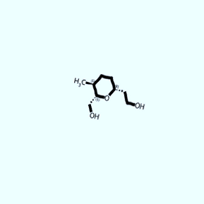 C[C@H]1CC[C@H](CCO)O[C@@H]1CO